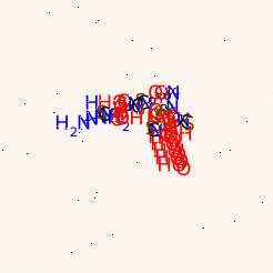 CC(=O)O.CC(=O)O.CC(=O)O.CC(=O)O.CC(=O)O.CCN(CC)c1ccc2c(C)c(-c3ccc(N=C=S)cc3)c(=O)oc2c1.CN(C)c1cccc2c(S(=O)(=O)Cl)cccc12.NCCNCCN.O=S(=O)(O)c1cc(N=C=S)ccc1C=CC1C=CC(N=C=S)=CC1S(=O)(=O)O.O=S(=O)(O)c1cc(N=C=S)ccc1C=Cc1ccc(N=C=S)cc1S(=O)(=O)O